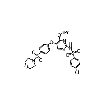 CCCOc1nc(NS(=O)(=O)c2ccc(Cl)cc2)ncc1Oc1ccc(S(=O)(=O)N2CCOCC2)cc1